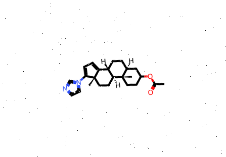 CC(=O)OC1CC[C@@]2(C)[C@@H](CC[C@H]3C4=CC=C(n5ccnc5)[C@@]4(C)CC[C@@H]32)C1